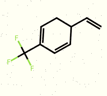 C=CC1C=CC(C(F)(F)F)=CC1